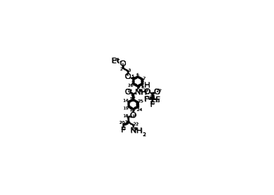 CCOCCOc1cccc(NC(=O)c2ccc(OCC(=CF)CN)cc2)c1.O=C(O)C(F)(F)F